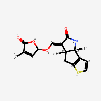 CC1=C[C@H](O/C=C2/C(=O)N[C@@H]3c4ccsc4C[C@H]23)OC1=O